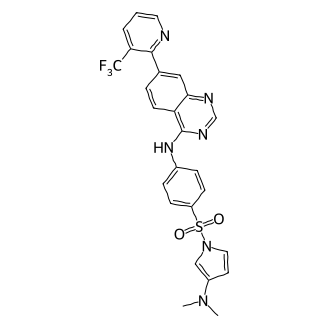 CN(C)c1ccn(S(=O)(=O)c2ccc(Nc3ncnc4cc(-c5ncccc5C(F)(F)F)ccc34)cc2)c1